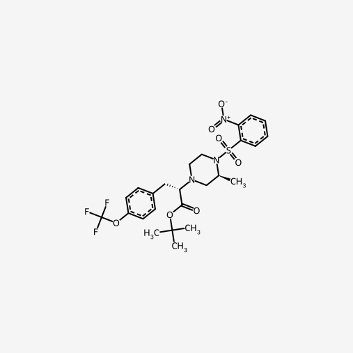 C[C@H]1CN([C@@H](Cc2ccc(OC(F)(F)F)cc2)C(=O)OC(C)(C)C)CCN1S(=O)(=O)c1ccccc1[N+](=O)[O-]